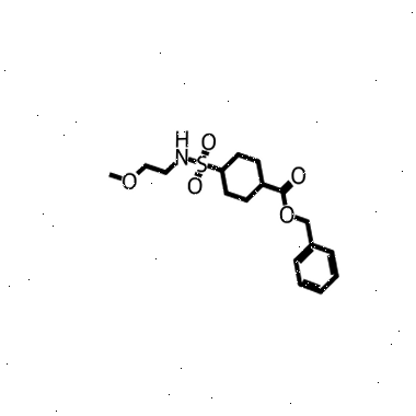 COCCNS(=O)(=O)C1CCC(C(=O)OCc2ccccc2)CC1